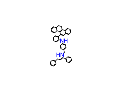 C1=CC2CCc3c(c(-c4ccccc4Nc4ccc(CN/C(=C\Cc5ccccc5)c5ccccc5)cc4)cc4ccccc34)C2C=C1